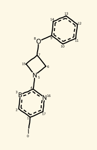 Ic1cbc(N2CC(Oc3ccccc3)C2)nc1